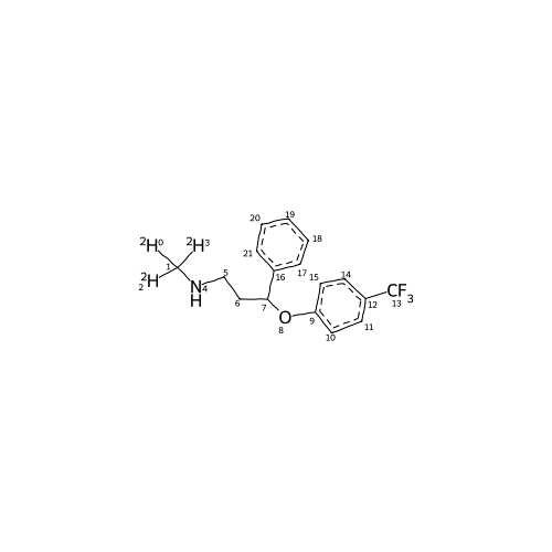 [2H]C([2H])([2H])NCCC(Oc1ccc(C(F)(F)F)cc1)c1ccccc1